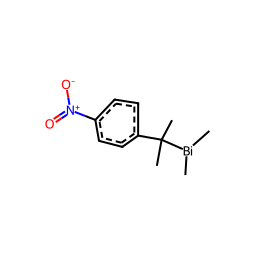 [CH3][Bi]([CH3])[C](C)(C)c1ccc([N+](=O)[O-])cc1